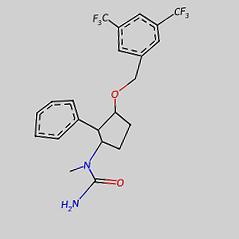 CN(C(N)=O)C1CCC(OCc2cc(C(F)(F)F)cc(C(F)(F)F)c2)C1c1ccccc1